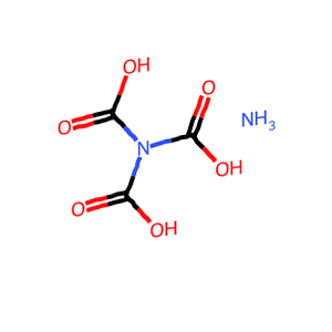 N.O=C(O)N(C(=O)O)C(=O)O